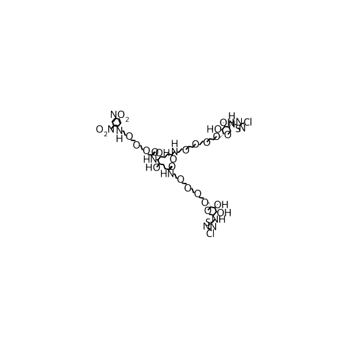 O=C(CCC(O)C(NC(=O)COCCOCCOCCNc1ccc([N+](=O)[O-])cc1[N+](=O)[O-])C(O)CCC(=O)NCCOCCOCCOCCOC[C@H]1OC[C@@H](Nc2nc(Cl)ns2)[C@@H](O)[C@H]1O)NCCOCCOCCOCCOC[C@H]1OC[C@@H](Nc2nc(Cl)ns2)[C@@H](O)[C@H]1O